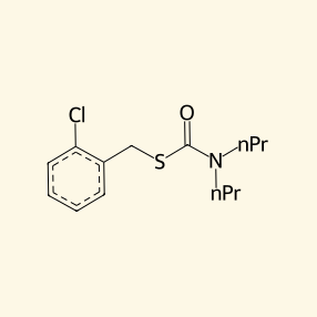 CCCN(CCC)C(=O)SCc1ccccc1Cl